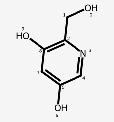 OCc1ncc(O)cc1O